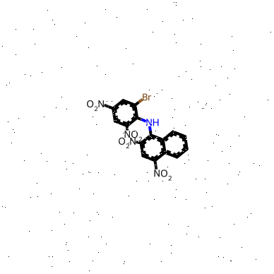 O=[N+]([O-])c1cc(Br)c(Nc2c([N+](=O)[O-])cc([N+](=O)[O-])c3ccccc23)c([N+](=O)[O-])c1